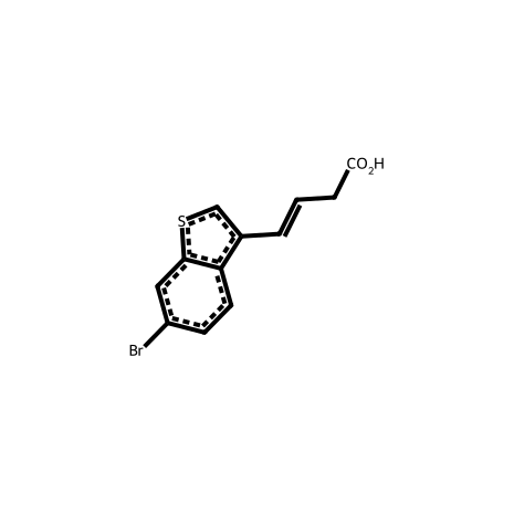 O=C(O)CC=Cc1csc2cc(Br)ccc12